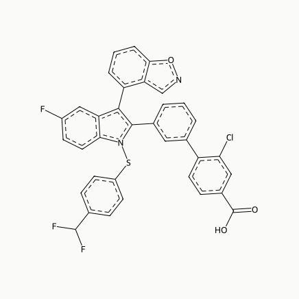 O=C(O)c1ccc(-c2cccc(-c3c(-c4cccc5oncc45)c4cc(F)ccc4n3Sc3ccc(C(F)F)cc3)c2)c(Cl)c1